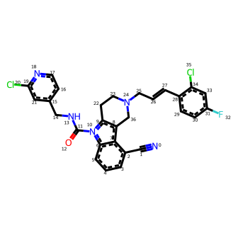 N#Cc1cccc2c1c1c(n2C(=O)NCc2ccnc(Cl)c2)CCN(CC=Cc2ccc(F)cc2Cl)C1